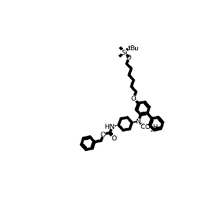 CC(C)(C)[Si](C)(C)OCCCCCCOc1ccc(-c2ccccc2)c(N(C(=O)O)[C@H]2CC[C@H](NC(=O)OCc3ccccc3)CC2)c1